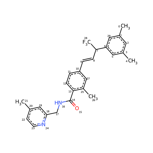 Cc1cc(C)cc(C(/C=C/c2ccc(C(=O)NCc3cc(C)ccn3)c(C)c2)C(F)(F)F)c1